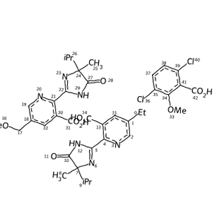 CCc1cnc(C2=NC(C)(C(C)C)C(=O)N2)c(C(=O)O)c1.COCc1cnc(C2=NC(C)(C(C)C)C(=O)N2)c(C(=O)O)c1.COc1c(Cl)ccc(Cl)c1C(=O)O